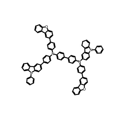 C1=Cc2c(c3cc(N(c4ccc(-c5ccc(N(c6ccc(-c7ccc8oc9ccccc9c8c7)cc6)c6ccc(-c7ccc8c(c7)c7ccccc7n8-c7ccccc7)cc6)cc5)cc4)c4ccc(-c5ccc6oc7ccccc7c6c5)cc4)ccc3n2-c2ccccc2)CC1